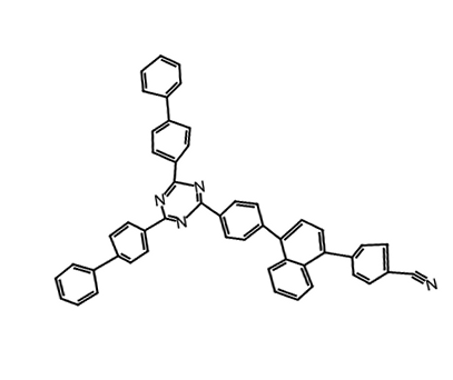 N#Cc1ccc(-c2ccc(-c3ccc(-c4nc(-c5ccc(-c6ccccc6)cc5)nc(-c5ccc(-c6ccccc6)cc5)n4)cc3)c3ccccc23)cc1